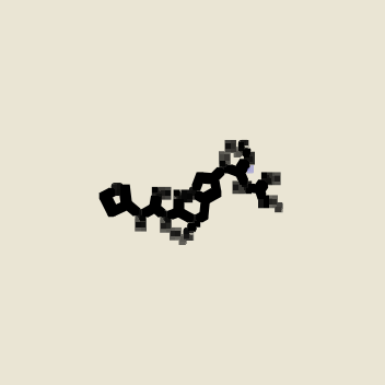 C/N=C(/NC(=N)N)Nc1csc(CN(C)C(=N)NC(=N)Nc2ccoc2)c1